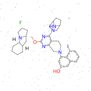 Oc1cc(N2CCc3c(nc(OC[C@@]45C[C@@H](F)CN4[C@@H]4CCCC[C@@H]4C5)nc3N3CC4CCC(C3)N4)C2)c2c(I)cccc2c1